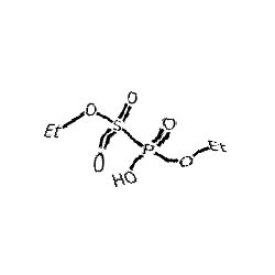 CCOP(=O)(O)S(=O)(=O)OCC